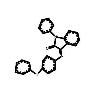 O=C1C(=Nc2ccc(Oc3ccccc3)cc2)c2ccccc2N1c1ccccc1